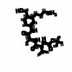 CC(C)[C@H](NC(=O)OC(C)(C)C)C(=O)N[C@@H](C)C(=O)Nc1ccc(CO)c(CCCN)c1